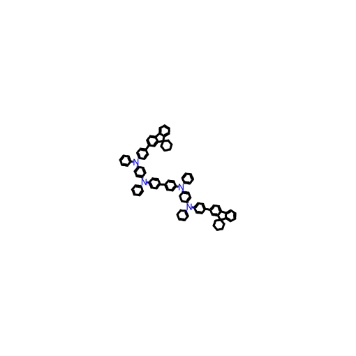 C1=CCCC(N(C2=CC=C(N(c3ccccc3)c3ccc(-c4ccc(N(c5ccccc5)c5ccc(N(c6ccccc6)c6ccc(-c7ccc8c(c7)C7(CCCCC7)c7ccccc7-8)cc6)cc5)cc4)cc3)CC2)c2ccc(-c3ccc4c(c3)C3(CCCCC3)c3ccccc3-4)cc2)=C1